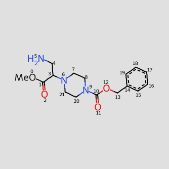 COC(=O)C(CN)N1CCN(C(=O)OCc2ccccc2)CC1